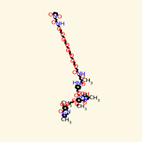 COc1cc2c(cc1OCCCOc1cc3c(cc1OC)C(=O)N1C=C(C)C[C@H]1[C@H](O)N3C(=O)OCc1ccc(NC(=O)[C@H](C)CC(=O)CNC(=O)CCOCCOCCOCCOCCOCCOCCOCCOCCNC(=O)CCN3C(=O)C=CC3=O)cc1)N=CC1CC(C)=CN1C2=O